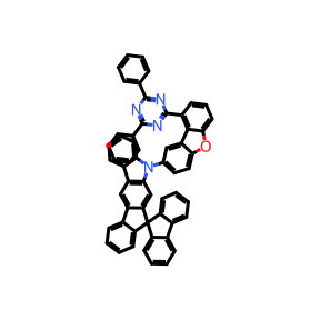 c1ccc(-c2nc(-c3ccccc3)nc(-c3cccc4oc5ccc(-n6c7ccccc7c7cc8c(cc76)C6(c7ccccc7-c7ccccc76)c6ccccc6-8)cc5c34)n2)cc1